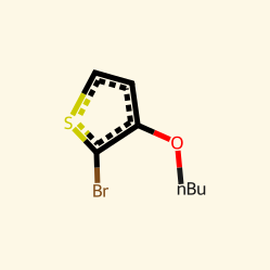 CCCCOc1ccsc1Br